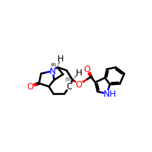 O=C(O[C@H]1CCCC2C(=O)CN3C2C[C@@H]3C1)c1c[nH]c2ccccc12